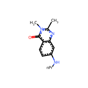 CCCNc1ccc2c(=O)n(C)c(C)nc2c1